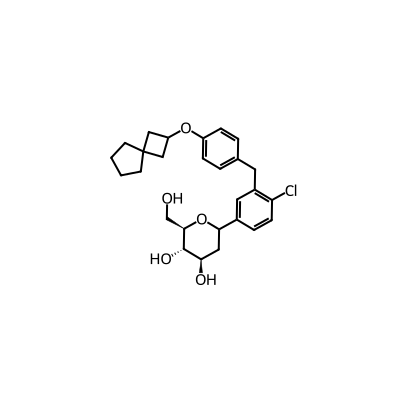 OC[C@H]1OC(c2ccc(Cl)c(Cc3ccc(OC4CC5(CCCC5)C4)cc3)c2)C[C@@H](O)[C@@H]1O